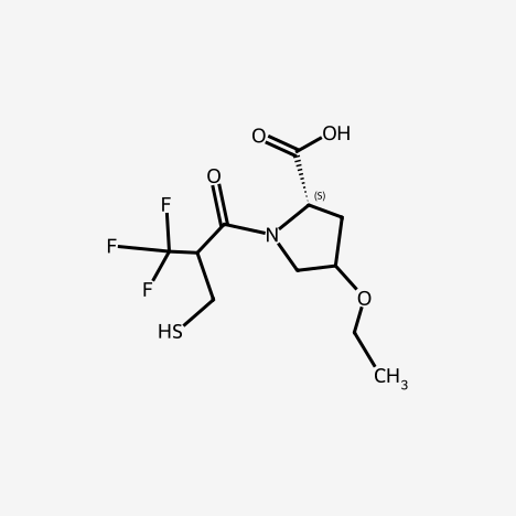 CCOC1C[C@@H](C(=O)O)N(C(=O)C(CS)C(F)(F)F)C1